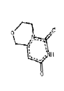 O=c1cc2n(c(=O)[nH]1)CCOC2